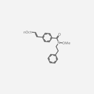 CCCCCCCCC=Cc1ccc(C(=O)N(CCc2ccccc2)OC)cc1